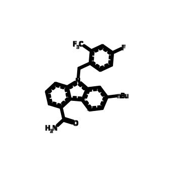 CCCCc1c[c]c2c3c(C(N)=O)cccc3n(Cc3ccc(F)cc3C(F)(F)F)c2c1